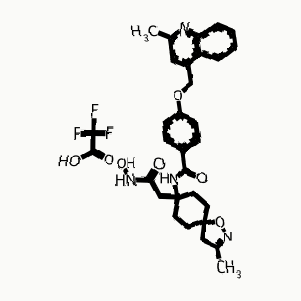 CC1=NOC2(CCC(CC(=O)NO)(NC(=O)c3ccc(OCc4cc(C)nc5ccccc45)cc3)CC2)C1.O=C(O)C(F)(F)F